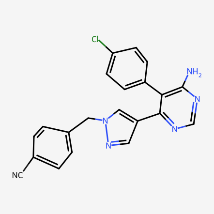 N#Cc1ccc(Cn2cc(-c3ncnc(N)c3-c3ccc(Cl)cc3)cn2)cc1